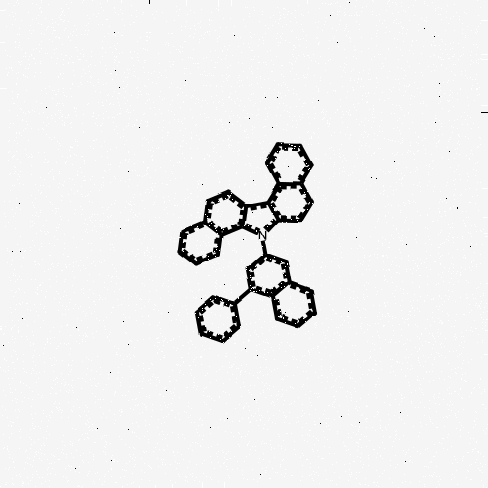 c1ccc(-c2cc(-n3c4ccc5ccccc5c4c4ccc5ccccc5c43)cc3ccccc23)cc1